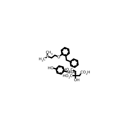 CC(=O)Nc1ccc(O)cc1.CN(C)CCOc1ccccc1Cc1ccccc1.O=C(O)CC(O)(CC(=O)O)C(=O)O